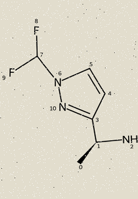 C[C@H](N)c1ccn(C(F)F)n1